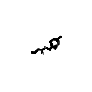 C=CCNOCc1ccc(C)nc1